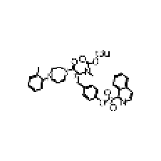 Cc1ccccc1N1CCN(C(=O)[C@H](Cc2ccc(OS(=O)(=O)c3nccc4ccccc34)cc2)N(C)C(=O)OC(C)(C)C)CC1